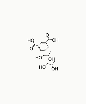 CC(O)CO.CC(O)CO.O=C(O)c1cccc(C(=O)O)c1